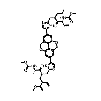 C=CC(CN(Cc1ncc(-c2cc3c4c(c2)OCc2cc(-c5cnc(CN(CCC)C(=O)[C@H](C=C)NC(=O)OC)[nH]5)cc(c2-4)OC3)[nH]1)C(=O)[C@H](C)NC(=O)OC)C(=C)OC